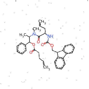 C=CCCC(=O)OC(c1ccccc1)C(C)N(C)C(=O)C(CC=C)NC(=O)OCC1c2ccccc2-c2ccccc21